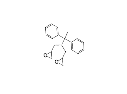 CC(c1ccccc1)(c1ccccc1)C(CC1CO1)CC1CO1